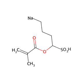 C=C(C)C(=O)OC(CC[CH2][Na])S(=O)(=O)O